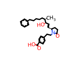 C[C@@H](CCCCCc1ccccc1)[C@H](O)C=C[C@H]1CCC(=O)N1CCc1ccc(C(=O)O)cc1